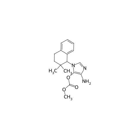 COC(=O)Oc1c(N)ncn1C1c2ccccc2CCC1(C)C